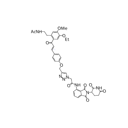 CCOc1cc(C(=O)/C=C/c2ccc(OCc3cn(CC(=O)Nc4cccc5c4C(=O)N(C4CCC(=O)NC4=O)C5=O)nn3)cc2)c(CCNC(C)=O)cc1OC